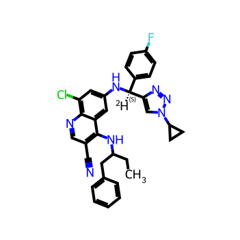 [2H][C@](Nc1cc(Cl)c2ncc(C#N)c(NC(CC)Cc3ccccc3)c2c1)(c1ccc(F)cc1)c1cn(C2CC2)nn1